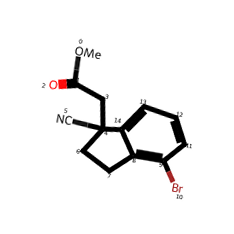 COC(=O)CC1(C#N)CCc2c(Br)cccc21